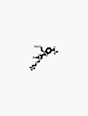 COCCn1c(-c2cn(COCC[Si](C)(C)C)c(Br)n2)nc2cc(C(=O)N(C)C)ccc21